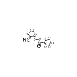 N#Cc1ccccc1C=CC(=O)c1ccccc1